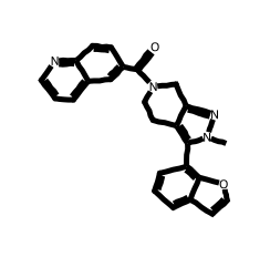 Cn1nc2c(c1-c1cccc3ccoc13)CCN(C(=O)c1ccc3ncccc3c1)C2